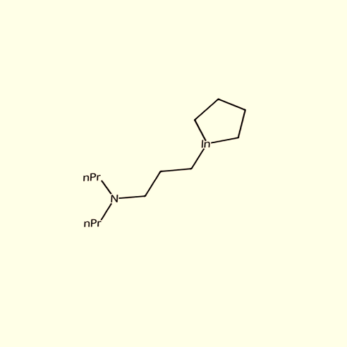 CCCN(CCC)CC[CH2][In]1[CH2]CC[CH2]1